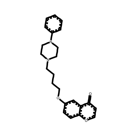 O=c1ccoc2ccc(OCCCCN3CCN(c4ccccc4)CC3)cc12